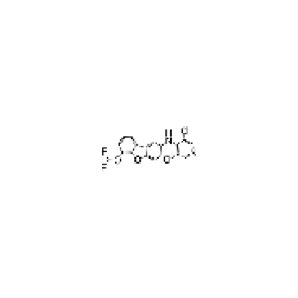 FC(F)Oc1cccc2c1oc1ccc(Nc3c(Cl)cncc3Cl)cc12